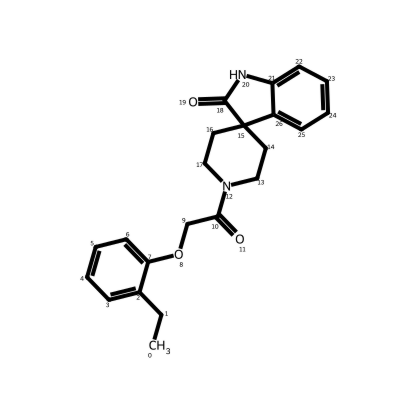 CCc1ccccc1OCC(=O)N1CCC2(CC1)C(=O)Nc1ccccc12